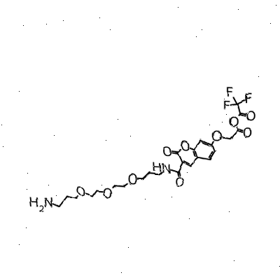 NCCCOCCOCCOCCCNC(=O)c1cc2ccc(OCC(=O)OC(=O)C(F)(F)F)cc2oc1=O